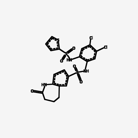 O=C1CCCc2cc(S(=O)(=O)Nc3cc(Cl)c(Cl)cc3NS(=O)(=O)c3cccs3)ccc2N1